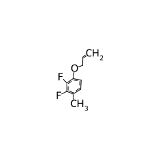 C=CCOc1ccc(C)c(F)c1F